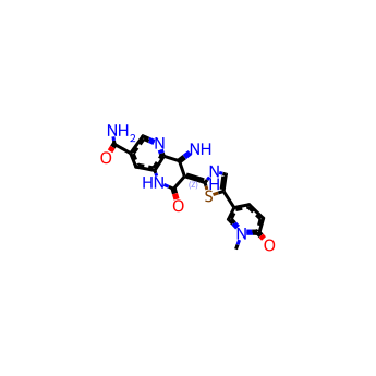 Cn1cc(C2=CN/C(=C3\C(=N)c4ncc(C(N)=O)cc4NC3=O)S2)ccc1=O